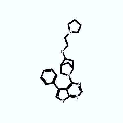 c1ccc(-c2csc3ncnc(N4CC5CC4CC5OCCN4CCCC4)c23)cc1